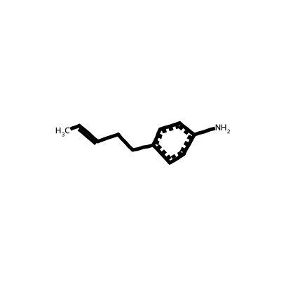 C/C=C/CCc1ccc(N)cc1